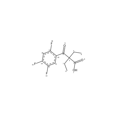 CCC(CC)(C(=O)O)C(=O)c1cc(F)c(F)cc1F